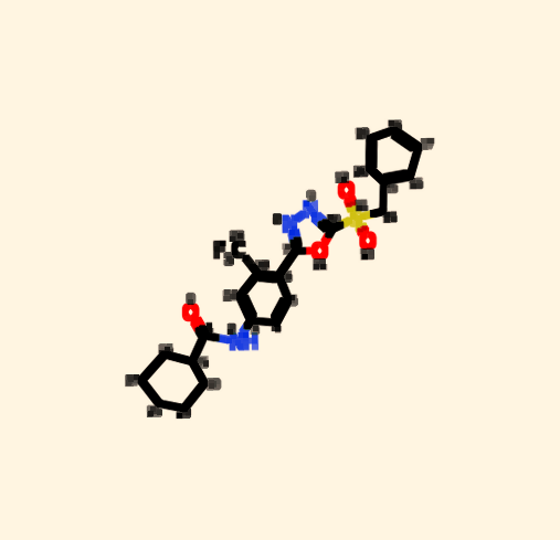 O=C(Nc1ccc(-c2nnc(S(=O)(=O)Cc3ccccc3)o2)c(C(F)(F)F)c1)C1CCCCC1